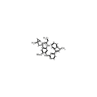 C=CC(=O)Nc1cc(Nc2nccc(-c3cn(C)c4ccccc34)n2)c(OC)cc1N(C)CC1(N)CC1